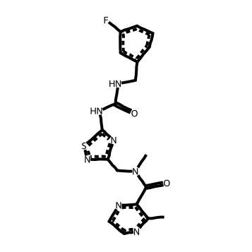 Cc1nccnc1C(=O)N(C)Cc1nsc(NC(=O)NCc2cccc(F)c2)n1